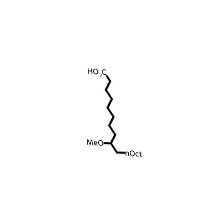 CCCCCCCCCC(CCCCCCCC(=O)O)OC